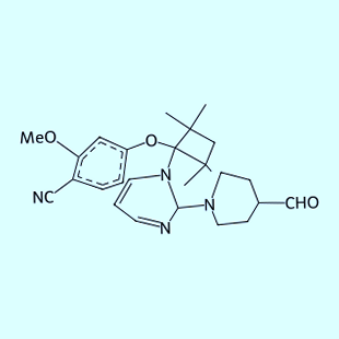 COc1cc(OC2(N3C=CC=NC3N3CCC(C=O)CC3)C(C)(C)CC2(C)C)ccc1C#N